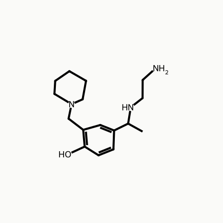 CC(NCCN)c1ccc(O)c(CN2CCCCC2)c1